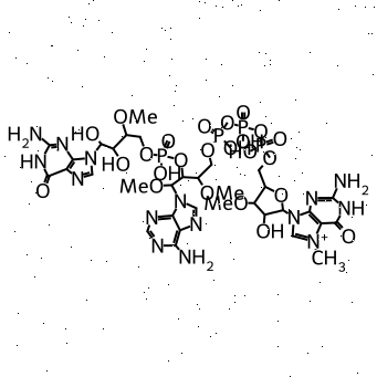 COC(COP(=O)(O)OC(C(COP(=O)(O)OP(=O)(O)OP(=O)(O)OCC1OC(n2c[n+](C)c3c(=O)[nH]c(N)nc32)C(O)C1OC)OC)C(OC)n1cnc2c(N)ncnc21)C(O)C(O)n1cnc2c(=O)[nH]c(N)nc21